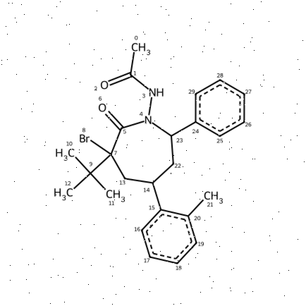 CC(=O)NN1C(=O)C(Br)(C(C)(C)C)CC(c2ccccc2C)CC1c1ccccc1